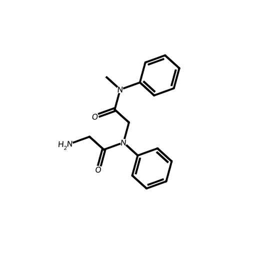 CN(C(=O)CN(C(=O)CN)c1ccccc1)c1ccccc1